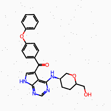 O=C(c1ccc(Oc2ccccc2)cc1)c1c[nH]c2ncnc(N[C@@H]3CCC(CO)OC3)c12